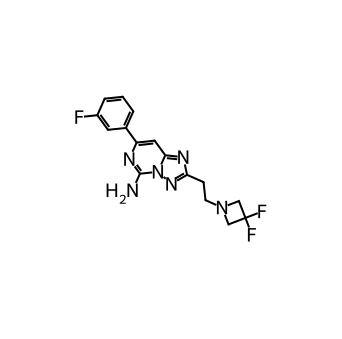 Nc1nc(-c2cccc(F)c2)cc2nc(CCN3CC(F)(F)C3)nn12